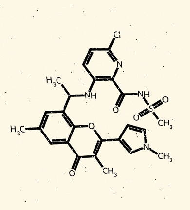 Cc1cc(C(C)Nc2ccc(Cl)nc2C(=O)NS(C)(=O)=O)c2oc(-c3ccn(C)c3)c(C)c(=O)c2c1